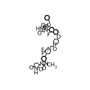 Cn1c(=O)n(C2CCC(=O)NC2=O)c2ccc(C3CCN(CC(=O)N4CCC(Oc5ccc6cc(OCc7ccccc7)c(N7CC(=O)NS7(=O)=O)c(F)c6c5)CC4)CC3(F)F)cc21